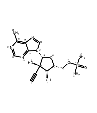 C#C[C@@]1(O)[C@H](O)[C@@H](COP(N)(N)=O)O[C@H]1n1cnc2c(N)ncnc21